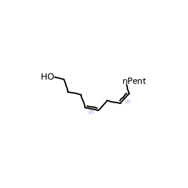 CCCCC/C=C\C/C=C\CCCO